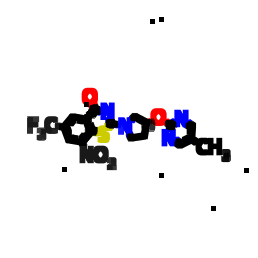 Cc1cnc(O[C@@H]2CCN(c3nc(=O)c4cc(C(F)(F)F)cc([N+](=O)[O-])c4s3)C2)nc1